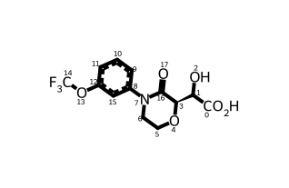 O=C(O)C(O)[C@H]1OCCN(c2cccc(OC(F)(F)F)c2)C1=O